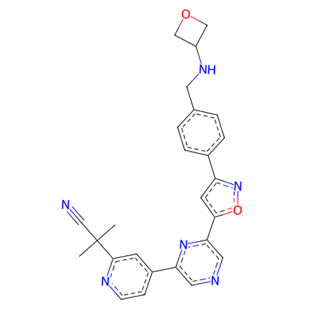 CC(C)(C#N)c1cc(-c2cncc(-c3cc(-c4ccc(CNC5COC5)cc4)no3)n2)ccn1